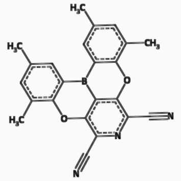 Cc1cc(C)c2c(c1)B1c3cc(C)cc(C)c3Oc3c(C#N)nc(C#N)c(c31)O2